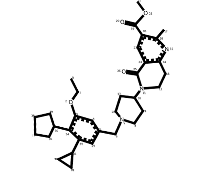 CCOc1cc(CN2CCC(N3CCc4nc(C)c(C(=O)OC)cc4C3=O)CC2)cc(C2CC2)c1C1CCCC1